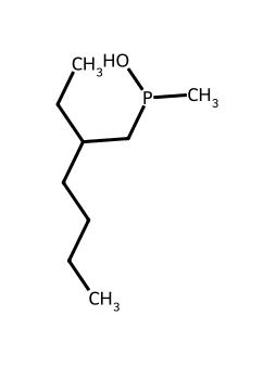 CCCCC(CC)CP(C)O